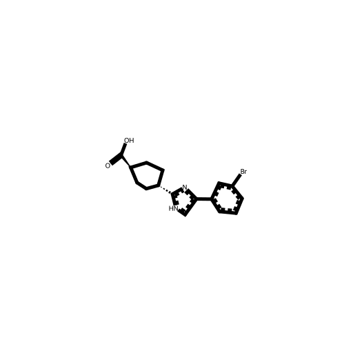 O=C(O)[C@H]1CC[C@H](c2nc(-c3cccc(Br)c3)c[nH]2)CC1